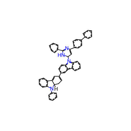 C1=C(c2ccc3c(c2)c2ccccc2n3C2C=C(c3ccc(-c4ccccc4)cc3)N=C(c3ccccc3)N2)C=C2c3ccccc3N(c3ccccc3)[C@H]2C1